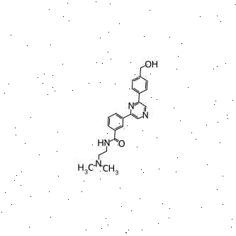 CN(C)CCNC(=O)c1cccc(-c2cncc(-c3ccc(CO)cc3)n2)c1